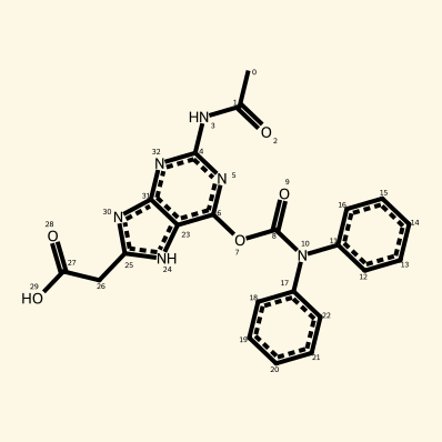 CC(=O)Nc1nc(OC(=O)N(c2ccccc2)c2ccccc2)c2[nH]c(CC(=O)O)nc2n1